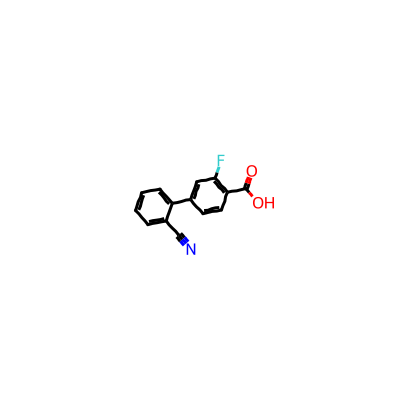 N#Cc1ccccc1-c1ccc(C(=O)O)c(F)c1